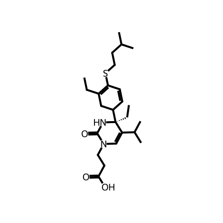 CCC1=C(SCCC(C)C)C=CC([C@]2(CC)NC(=O)N(CCC(=O)O)C=C2C(C)C)C1